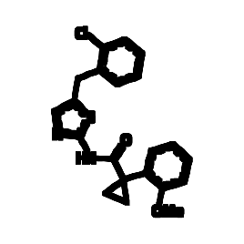 COc1ccccc1C1(C(=O)Nc2ncc(Cc3ccccc3Cl)s2)CC1